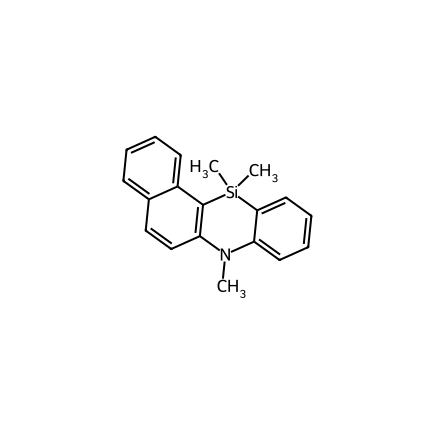 CN1c2ccccc2[Si](C)(C)c2c1ccc1ccccc21